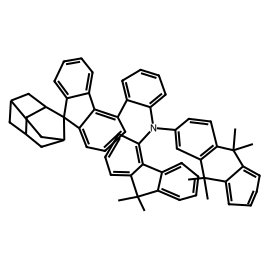 CC1(C)c2ccccc2C(C)(C)c2cc(N(c3ccccc3-c3cccc4c3-c3ccccc3C43C4CC5CC(C4)CC3C5)c3cccc4c3-c3ccccc3C4(C)C)ccc21